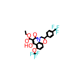 CCOC(=O)c1c(O)c2c(OC(F)(F)F)ccc3c2n(c1=O)CC(c1ccc(C(F)(F)F)cc1)O3